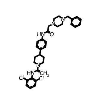 C=C(Nc1c(Cl)cccc1Cl)N1CCC(c2ccc(NC(=O)CN3CCN(Cc4ccccc4)CC3)cc2)CC1